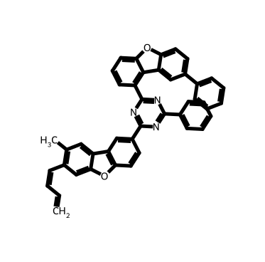 C=C/C=C\c1cc2oc3ccc(-c4nc(-c5ccccc5)nc(-c5cccc6oc7ccc(-c8ccccc8)cc7c56)n4)cc3c2cc1C